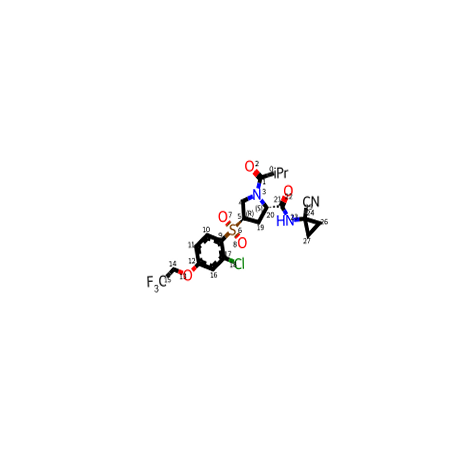 CC(C)C(=O)N1C[C@H](S(=O)(=O)c2ccc(OCC(F)(F)F)cc2Cl)C[C@H]1C(=O)NC1(C#N)CC1